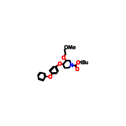 COCCOC1CN(C(=O)OC(C)(C)C)CCC1Oc1ccc(Oc2ccccc2)cc1